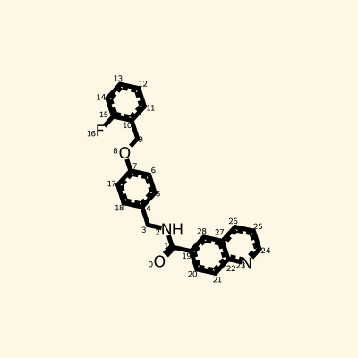 O=C(NCc1ccc(OCc2ccccc2F)cc1)c1ccc2ncccc2c1